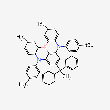 Cc1ccc(N2c3cc(C(C)(C4=CC=CCC4)C4CC=CCC4)cc4c3B(C3=CC(C(C)(C)C)CC=C3N4c3ccc(C(C)(C)C)cc3)C3CC(C)C=CC32)cc1